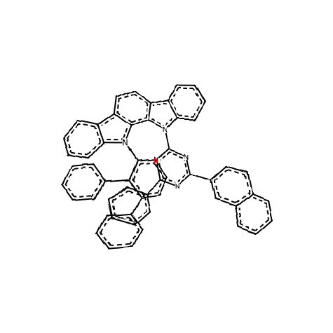 c1ccc(-c2nc(-c3ccc4ccccc4c3)nc(-n3c4ccccc4c4ccc5c6ccccc6n(-c6cccc(-c7ccccc7)c6-c6ccccc6)c5c43)n2)cc1